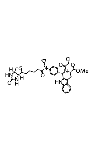 COC(=O)[C@H]1Cc2c([nH]c3ccccc23)[C@H](c2ccc(N(C(=O)CCCC[C@@H]3SC[C@@H]4NC(=O)N[C@@H]43)C3CC3)cc2)N1C(=O)CCl